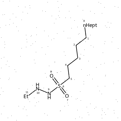 CCCCCCCCCCCCS(=O)(=O)NNCC